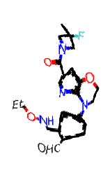 CCONCc1cc(N2CCOc3cc(C(=O)N4CC(C)(F)C4)cnc32)ccc1C=O